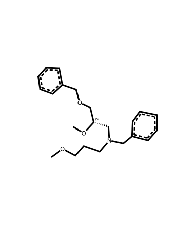 COCCCN(Cc1ccccc1)C[C@@H](COCc1ccccc1)OC